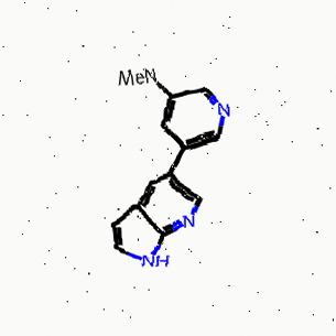 CNc1cncc(-c2cnc3[nH]ccc3c2)c1